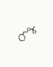 CC(=O)OCCC1CCCCCC1